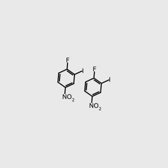 O=[N+]([O-])c1ccc(F)c(I)c1.O=[N+]([O-])c1ccc(F)c(I)c1